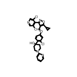 Cc1cncc(Cl)c1-c1noc(C2CC2)c1COc1ccc(C2(O)CCN(c3ccccn3)CC2)c(Cl)c1